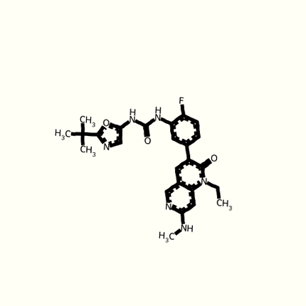 CCn1c(=O)c(-c2ccc(F)c(NC(=O)Nc3cnc(C(C)(C)C)o3)c2)cc2cnc(NC)cc21